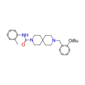 Cc1ccccc1NC(=O)N1CCC2(CCN(Cc3ccccc3OCC(C)C)CC2)CC1